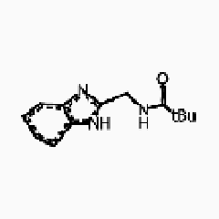 CC(C)(C)C(=O)NCc1nc2ccccc2[nH]1